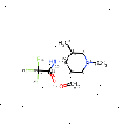 C=O.C[C@H]1CN(C)CC[C@@H]1NC(=O)C(F)(F)F